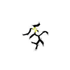 C=CS(C)(CCC)C(C)C(CC)C(C)C(C)C